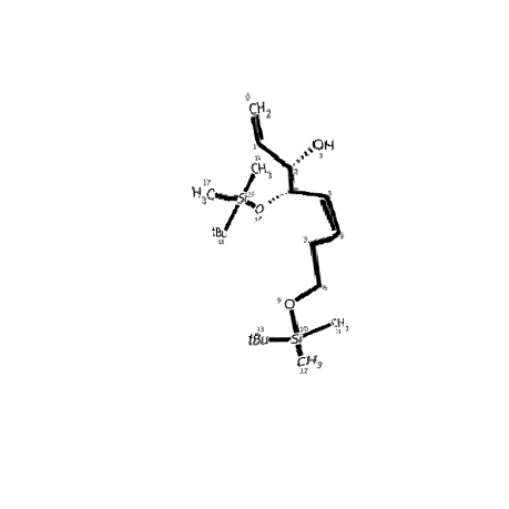 C=C[C@H](O)[C@H](/C=C\CCO[Si](C)(C)C(C)(C)C)O[Si](C)(C)C(C)(C)C